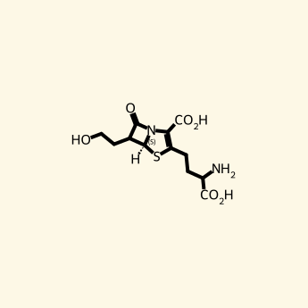 NC(CCC1=C(C(=O)O)N2C(=O)C(CCO)[C@@H]2S1)C(=O)O